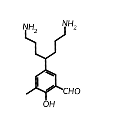 Cc1cc(C(CCCN)CCCN)cc(C=O)c1O